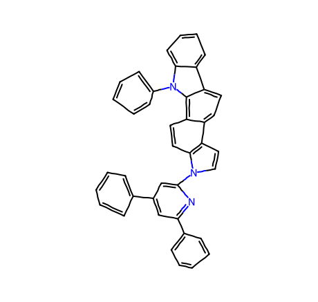 c1ccc(-c2cc(-c3ccccc3)nc(-n3ccc4c5ccc6c7ccccc7n(-c7ccccc7)c6c5ccc43)c2)cc1